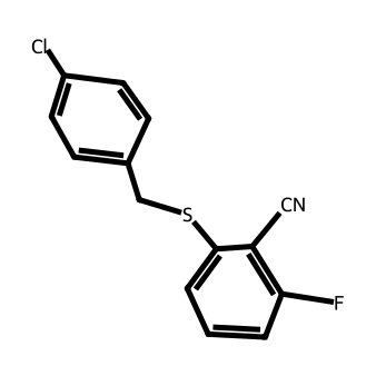 N#Cc1c(F)cccc1SCc1ccc(Cl)cc1